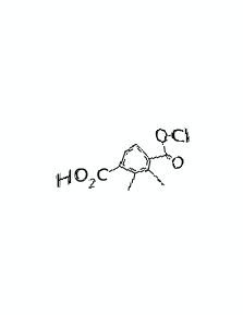 Cc1c(C(=O)O)ccc(C(=O)OCl)c1C